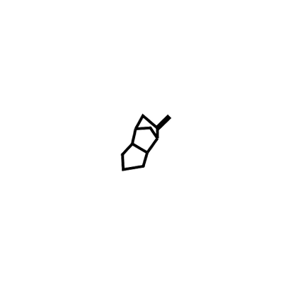 C=C1CC2CC1C1CCCC21